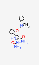 CN(CCOc1ccccc1-c1cc(C(N)=O)c(NC(N)=O)[nH]1)Cc1ccccc1